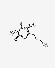 Cn1c(CCCO)cc(=O)n(C)c1=O